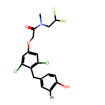 CC(C)c1cc(Cc2c(Cl)cc(OCC(=O)N(C)CC(F)F)cc2Cl)ccc1O